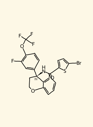 O=C(N[C@]1(c2ccc(OC(F)(F)F)c(F)c2)CCOc2cccnc21)c1ccc(Br)s1